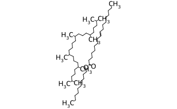 CC(C)CCCC(C)CCCC(C)CCCCC(C)CCCC(C)CCCC(C)C.CCCCCCCCC=CCCCCCCCC(=O)OCCCCCCCCCC